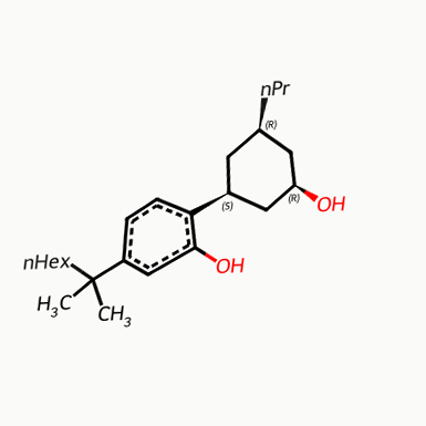 CCCCCCC(C)(C)c1ccc([C@@H]2C[C@H](O)C[C@H](CCC)C2)c(O)c1